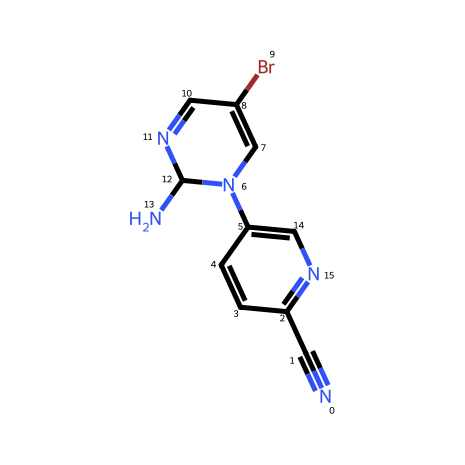 N#Cc1ccc(N2C=C(Br)C=NC2N)cn1